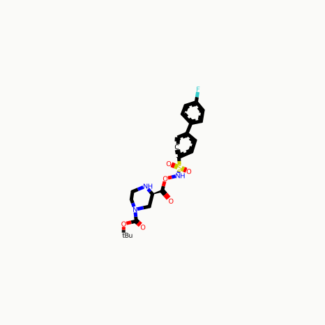 CC(C)(C)OC(=O)N1CCN[C@@H](C(=O)ONS(=O)(=O)c2ccc(-c3ccc(F)cc3)cc2)C1